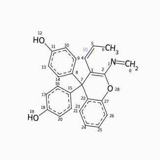 C=NC1=C(/C=C\C)C(c2ccc(O)cc2)(c2ccc(O)cc2)c2ccccc2O1